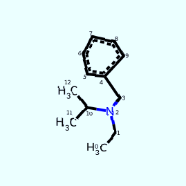 CCN(Cc1c[c]ccc1)C(C)C